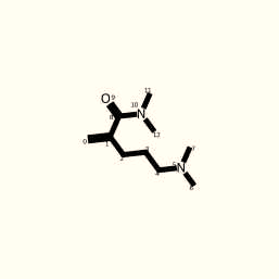 C=C(CCCN(C)C)C(=O)N(C)C